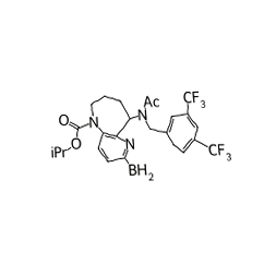 Bc1ccc2c(n1)C(N(CC1=CC(C(F)(F)F)=CC(C(F)(F)F)=CC1)C(C)=O)CCCN2C(=O)OC(C)C